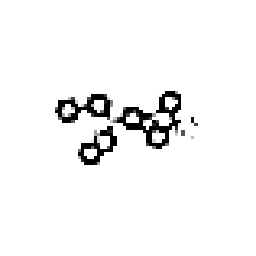 CC1(C)c2ccccc2-n2c3ccc(N(c4cccc(-c5ccccc5)c4)c4ccc5ccccc5n4)cc3c3cccc1c32